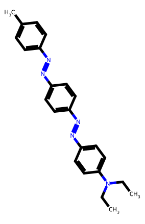 CCN(CC)c1ccc(N=Nc2ccc(N=Nc3ccc(C)cc3)cc2)cc1